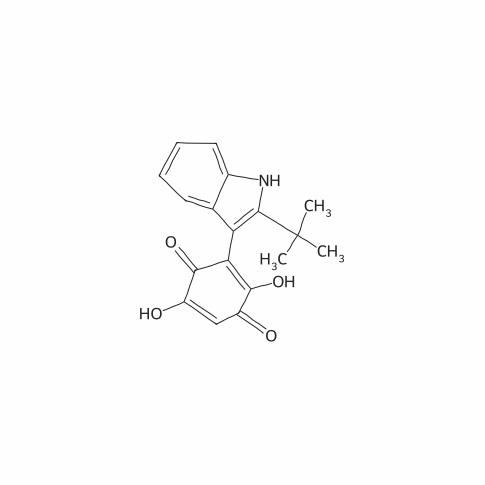 CC(C)(C)c1[nH]c2ccccc2c1C1=C(O)C(=O)C=C(O)C1=O